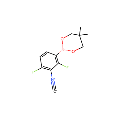 [C-]#[N+]c1c(F)ccc(B2OCC(C)(C)CO2)c1F